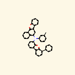 Cc1cccc(N(c2cc3c4ccccc4oc3c3ccccc23)c2cccc3c2oc2c(-c4ccccc4)cccc23)c1